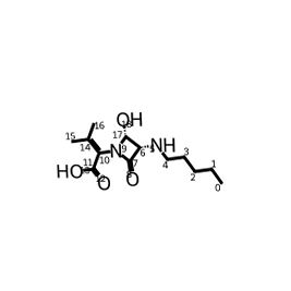 CCCCCN[C@@H]1C(=O)N(C(C(=O)O)=C(C)C)[C@@H]1O